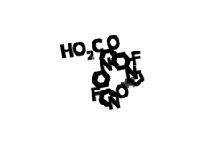 O=C(O)c1cn(-c2ccc(F)cc2)c2cc(N3CCC[C@@H]3COc3ccccn3)c(F)cc2c1=O